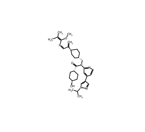 C=C(/C=N\C(OC)=C(C)C)[C@H]1CC[C@H](CN(c2cc(-c3cnn(C(C)C)c3)ccn2)C(=O)[C@H]2CC[C@H](O)CC2)CC1